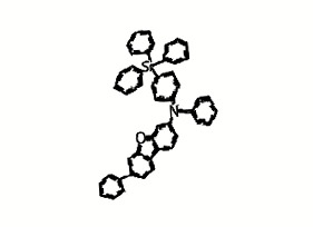 c1ccc(-c2ccc3c(c2)oc2cc(N(c4ccccc4)c4ccc([Si](c5ccccc5)(c5ccccc5)c5ccccc5)cc4)ccc23)cc1